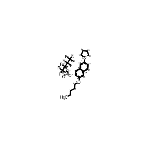 CCCCCOc1ccc2cc([S+]3CCCC3)ccc2c1.O=S(=O)([O-])C(F)(F)C(F)(F)C(F)(F)C(F)(F)F